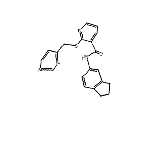 O=C(Nc1ccc2c(c1)CCC2)c1cccnc1SCc1ccncn1